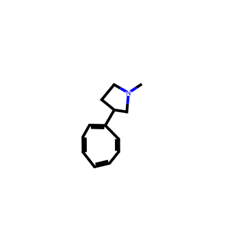 CN1CCC(C2=C/C=C\C=C/C=C\2)C1